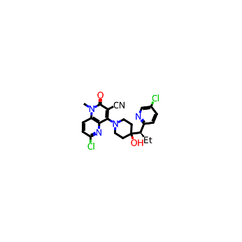 CC[C@H](c1ccc(Cl)cn1)C1(O)CCN(c2c(C#N)c(=O)n(C)c3ccc(Cl)nc23)CC1